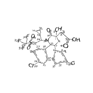 CC1(CC(=O)O)CC(c2cccc(Cl)c2)C(c2ccc(Cl)cc2)N(C(CS(=O)(=O)C(F)(F)F)C2CC2)C1=O